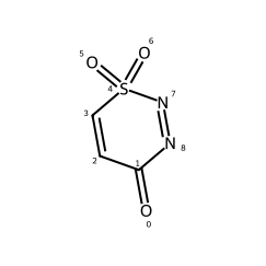 O=C1C=CS(=O)(=O)N=N1